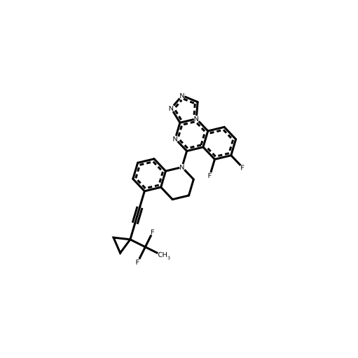 CC(F)(F)C1(C#Cc2cccc3c2CCCN3c2nc3nncn3c3ccc(F)c(F)c23)CC1